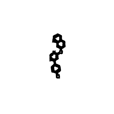 Clc1ccc(-c2cc(Oc3ccc4cccnc4c3)ncn2)cc1